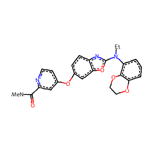 CCN(c1nc2ccc(Oc3ccnc(C(=O)NC)c3)cc2o1)c1cccc2c1OCCO2